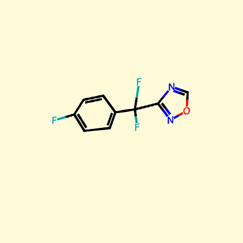 Fc1ccc(C(F)(F)c2ncon2)cc1